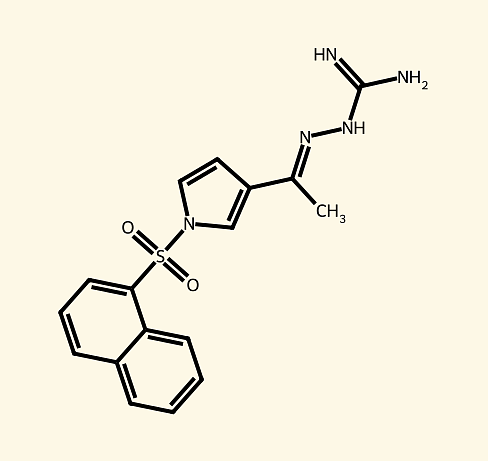 CC(=NNC(=N)N)c1ccn(S(=O)(=O)c2cccc3ccccc23)c1